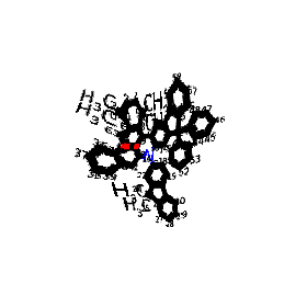 CC1(C)CCC(C)(C)c2c(-c3cc4c(cc3N(c3ccc5c(c3)C(C)(C)c3ccccc3-5)c3ccc5ccccc5c3)C(c3ccccc3)(c3ccccc3)c3ccccc3-4)cccc21